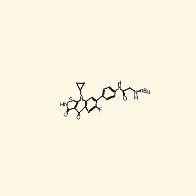 CCCCNCC(=O)Nc1ccc(-c2cc3c(cc2F)c(=O)c2c(=O)[nH]sc2n3C2CC2)cc1